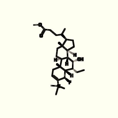 CC[C@H]1[C@@H](O)[C@@H]2[C@H](CC[C@]3(C)[C@@H](C(C)CCC(=O)OC)CC[C@@H]23)[C@@]2(C)CC=C([Si](C)(C)C)[C@H](F)[C@@H]12